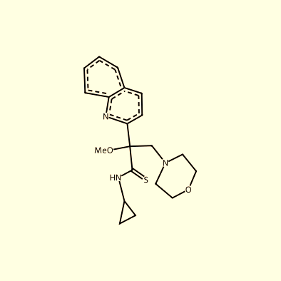 COC(CN1CCOCC1)(C(=S)NC1CC1)c1ccc2ccccc2n1